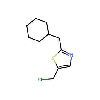 ClCc1cnc(CC2CCCCC2)s1